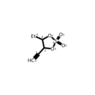 C#CC1OS(=O)(=O)OC1CC